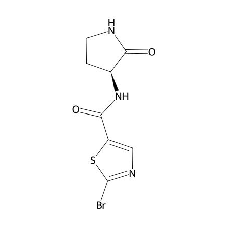 O=C(N[C@H]1CCNC1=O)c1cnc(Br)s1